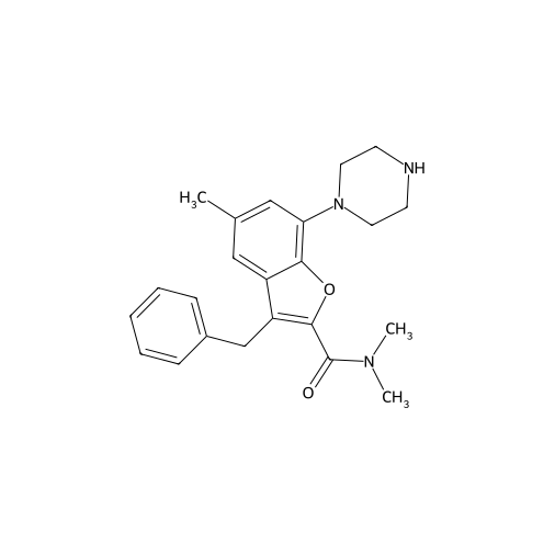 Cc1cc(N2CCNCC2)c2oc(C(=O)N(C)C)c(Cc3ccccc3)c2c1